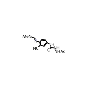 CN/C=N/c1ccc(NC(=O)NNC(C)=O)cc1C#N